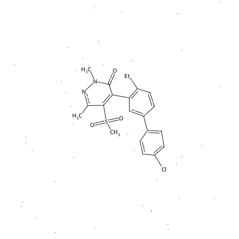 CCc1ccc(-c2ccc(Cl)cc2)cc1-c1c(S(C)(=O)=O)c(C)nn(C)c1=O